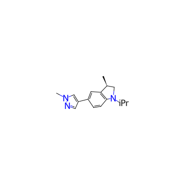 CC(C)N1C[C@H](C)c2cc(-c3cnn(C)c3)ccc21